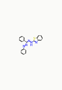 c1ccc(N=NC(=NNc2nc3ccccc3s2)c2ccccc2)cc1